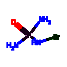 NP(N)(=O)NBr